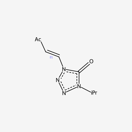 CC(=O)/C=C/n1nnn(C(C)C)c1=O